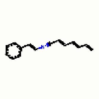 C=CC=CC=CC#[N+]C=Cc1ccccc1